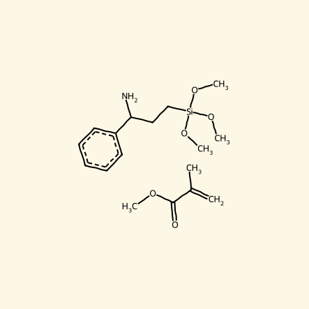 C=C(C)C(=O)OC.CO[Si](CCC(N)c1ccccc1)(OC)OC